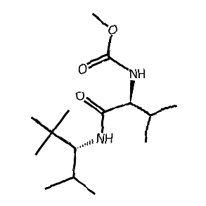 COC(=O)N[C@H](C(=O)N[C@H](C(C)C)C(C)(C)C)C(C)C